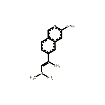 CNc1cc2cc(/C(N)=C/N(C)N)ccc2cn1